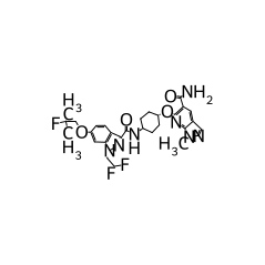 Cn1ncc2cc(C(N)=O)c(O[C@H]3CC[C@H](NC(=O)c4nn(CC(F)F)c5cc(OCC(C)(C)F)ccc45)CC3)nc21